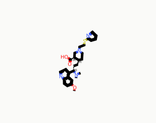 COc1ccc2nccc([C@H](CC[C@@H]3CCN(CCSc4ccccn4)C[C@@H]3C(=O)O)N(C)C)c2c1